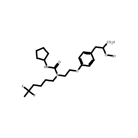 CCOC(Cc1ccc(OCCN(CCCCC(C)(F)F)C(=O)NC2CCCC2)cc1)C(=O)O